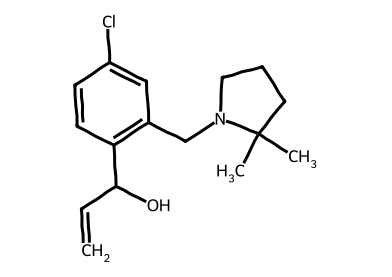 C=CC(O)c1ccc(Cl)cc1CN1CCCC1(C)C